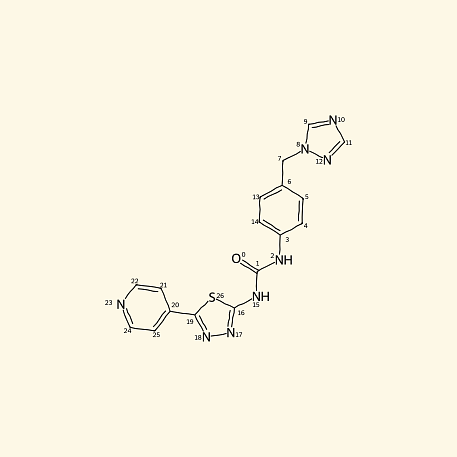 O=C(Nc1ccc(Cn2cncn2)cc1)Nc1nnc(-c2ccncc2)s1